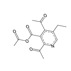 CCc1cnc(C(C)=O)c(C(=O)OC(C)=O)c1C(C)=O